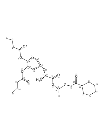 CCCC(=O)Oc1ccc(C[C@H](N)C(=O)O[C@@H](C)COC(=O)C2CCCCC2)cc1OC(=O)CCC